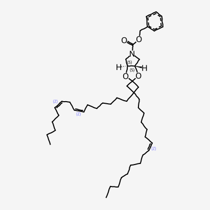 CCCCC/C=C\C/C=C\CCCCCCC1(CCCCCC/C=C\CCCCCCCC)CC2(C1)O[C@H]1CN(C(=O)OCc3ccccc3)C[C@@H]1O2